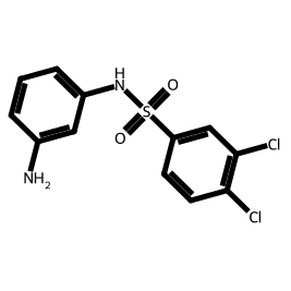 Nc1cccc(NS(=O)(=O)c2ccc(Cl)c(Cl)c2)c1